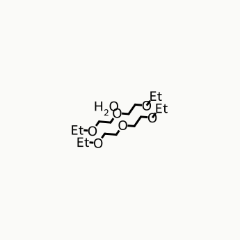 CCOCCOCCOCC.CCOCCOCCOCC.O